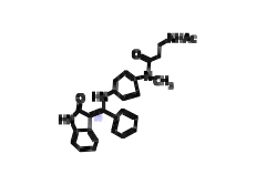 CC(=O)NCCC(=O)N(C)c1ccc(N/C(=C2\C(=O)Nc3ccccc32)c2ccccc2)cc1